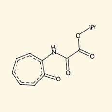 CC(C)OC(=O)C(=O)Nc1cccccc1=O